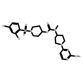 COc1nccc(N2CCC(N(C)C(=O)OC3CCN(S(=O)(=O)c4ccc(Cl)cc4Cl)CC3)CC2)n1